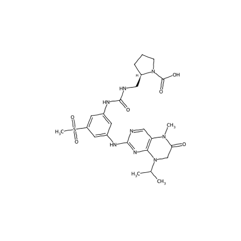 CC(C)N1CC(=O)N(C)c2cnc(Nc3cc(NC(=O)NC[C@H]4CCCN4C(=O)O)cc(S(C)(=O)=O)c3)nc21